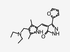 CCN(CC)Cc1c(C)[nH]c(C=C2C(=O)NN=C2c2ccco2)c1C